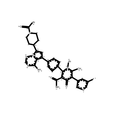 Cc1c(-c2cncc(F)c2)c(=O)c(C(N)=O)c(-c2ccc(-c3cc(C4CCN(C(=O)C(C)C)CC4)n4ncnc(N)c34)cc2)n1C(C)C